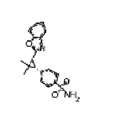 CC1(C)[C@@H](c2ccc(S(N)(=O)=O)cc2)[C@@H]1c1nc2ccccc2o1